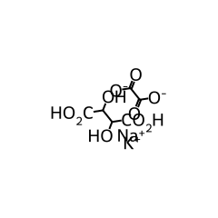 O=C(O)C(O)C(O)C(=O)O.O=C([O-])C(=O)[O-].[K+].[Na+]